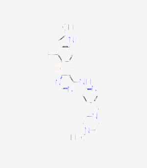 Cc1cc2c(F)c(Oc3ncnc(Nc4ccc(CN5CCN(C)CC5)cn4)c3F)ccc2[nH]1